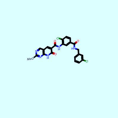 COc1ncc2cc(C(=O)Nc3cc(C(=O)NCc4cccc(Cl)c4)ccc3Cl)c(=O)[nH]c2n1